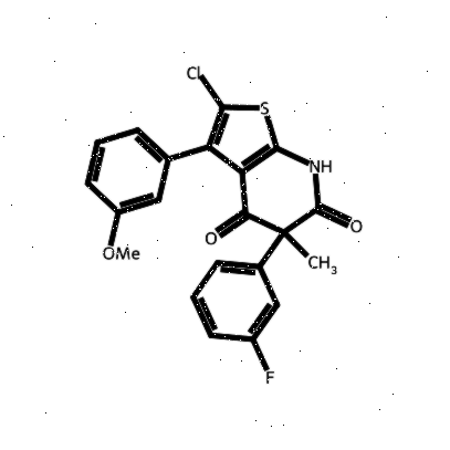 COc1cccc(-c2c(Cl)sc3c2C(=O)C(C)(c2cccc(F)c2)C(=O)N3)c1